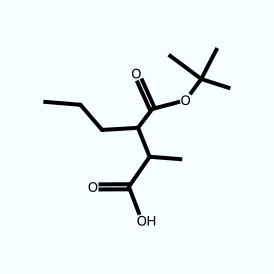 CCCC(C(=O)OC(C)(C)C)C(C)C(=O)O